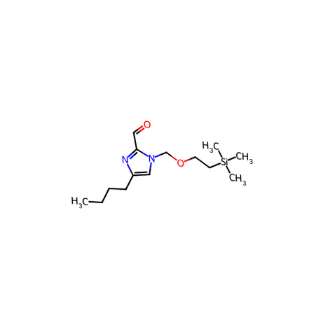 CCCCc1cn(COCC[Si](C)(C)C)c(C=O)n1